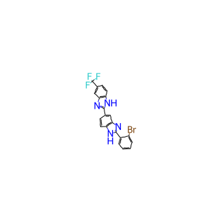 FC(F)(F)c1ccc2[nH]c(-c3ccc4[nH]c(-c5ccccc5Br)nc4c3)nc2c1